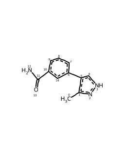 Cc1n[nH]cc1-c1c[c]cc(C(N)=O)c1